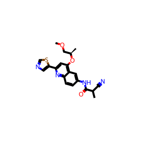 COC[C@@H](C)Oc1cc(-c2cncs2)nc2ccc(NC(=O)C(C)C#N)cc12